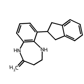 C=C1CCNc2c(cccc2C2Cc3ccccc3C2)N1